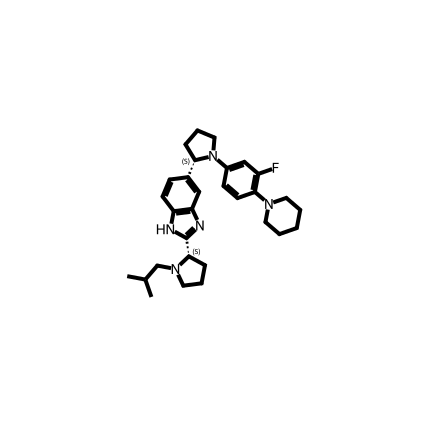 CC(C)CN1CCC[C@H]1c1nc2cc([C@@H]3CCCN3c3ccc(N4CCCCC4)c(F)c3)ccc2[nH]1